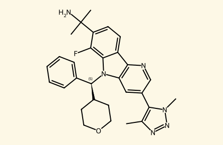 Cc1nnn(C)c1-c1cnc2c3ccc(C(C)(C)N)c(F)c3n([C@H](c3ccccc3)C3CCOCC3)c2c1